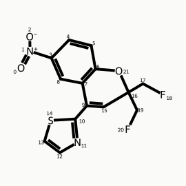 O=[N+]([O-])c1ccc2c(c1)C(c1nccs1)=CC(CF)(CF)O2